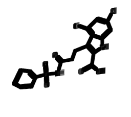 O=C(CCc1c(C(=O)O)[nH]c2cc(Cl)cc(Cl)c12)NS(=O)(=O)c1ccccc1